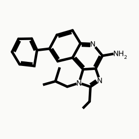 CCc1nc2c(N)nc3ccc(-c4ccccc4)cc3c2n1CC(C)C